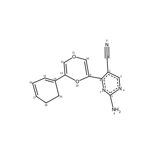 N#Cc1cnc(N)nc1C1=COC=C(C2=CC=CCC2)O1